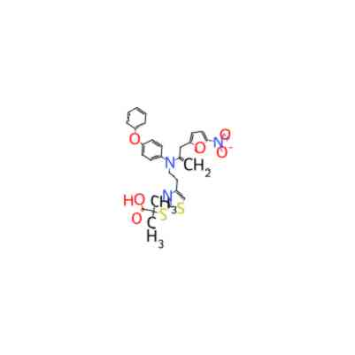 C=C(Cc1ccc([N+](=O)[O-])o1)N(CCc1csc(SC(C)(C)C(=O)O)n1)c1ccc(Oc2ccccc2)cc1